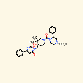 CC1(C)CN(C(=O)N2CCN(C(=O)O)CC2c2ccccc2)CC[C@@]1(O)Cn1cnc(-c2ccccc2)cc1=O